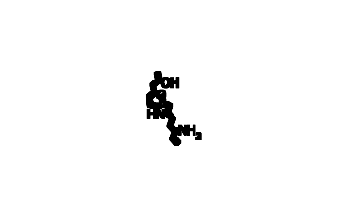 C=CC(N)CCC1=CB2OC(CC(=C)O)CCC2N1